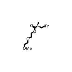 COCCOCCOC(=O)N(C)CC(C)C